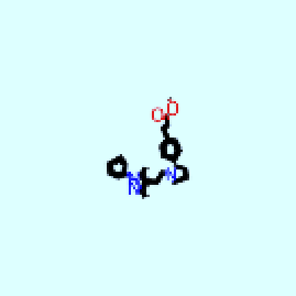 COC(=O)C=Cc1ccc([C@@H]2CCCN2CCc2c(C)nn(-c3ccccc3)c2C)cc1